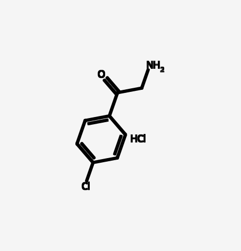 Cl.NCC(=O)c1ccc(Cl)cc1